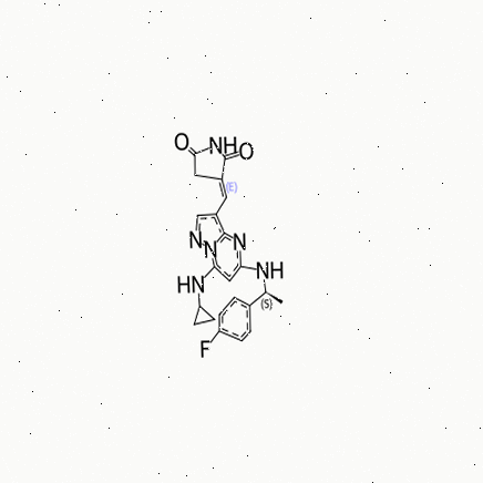 C[C@H](Nc1cc(NC2CC2)n2ncc(/C=C3\CC(=O)NC3=O)c2n1)c1ccc(F)cc1